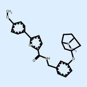 COc1ccc(-c2ccc(C(=O)NCc3cccc(OC4CC5CCC(C4)N5C)c3)o2)cc1